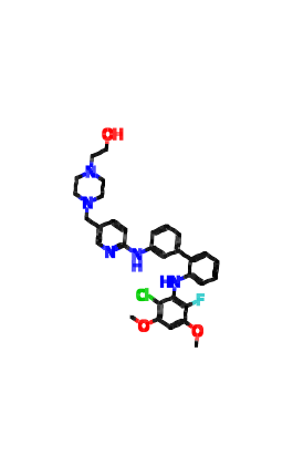 COc1cc(OC)c(Cl)c(Nc2ccccc2-c2cccc(Nc3ccc(CN4CCN(CCO)CC4)cn3)c2)c1F